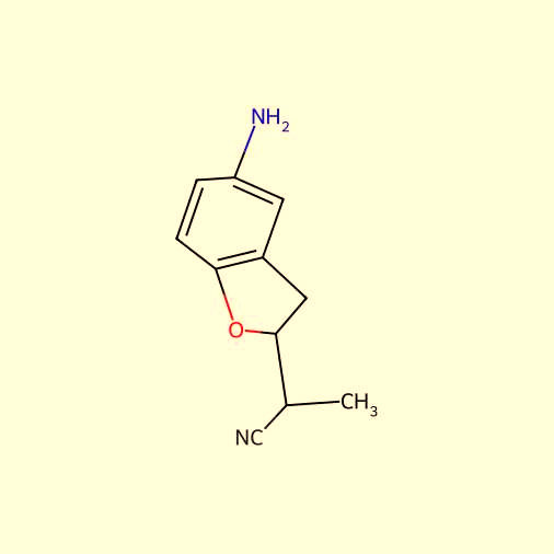 CC(C#N)C1Cc2cc(N)ccc2O1